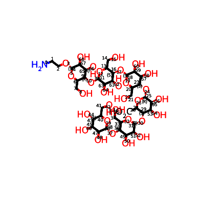 NCCO[C@H]1OC(CO)[C@H](O[C@H]2OC(CO)[C@@H](O[C@@H]3OC(CO)[C@@H](O[C@@H]4OC(C(=O)O)[C@@H](O[C@H]5OC(CO)[C@H](O[C@H]6OC(CO)[C@@H](O)C(O)C6O)C(O)C5O)C(O)[C@@H]4O)C(O)C3O)C(O)C2O)[C@H](O)C1O